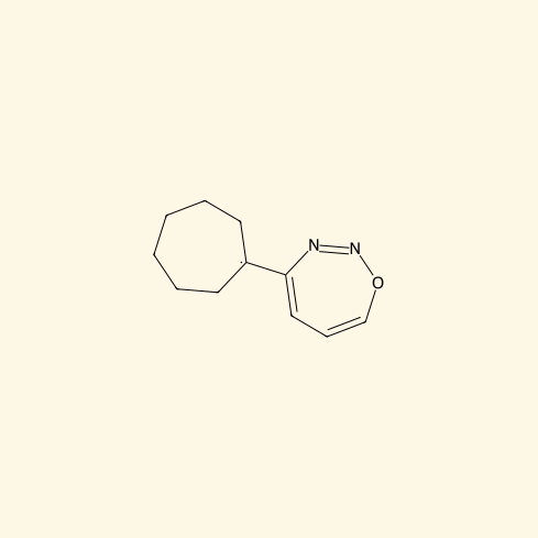 C1=CON=NC([C]2CCCCCC2)=C1